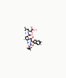 CC(C)CC(NC(=O)[C@@H]1CCCN1C(=O)C(NC(=O)OC(C)(C)C)C1Cc2ccccc2C1)C(=O)C(=O)O